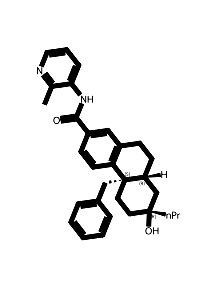 CCC[C@@]1(O)CC[C@@]2(Cc3ccccc3)c3ccc(C(=O)Nc4cccnc4C)cc3CC[C@@H]2C1